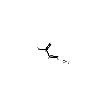 C=CC(=C)C.[CH3]